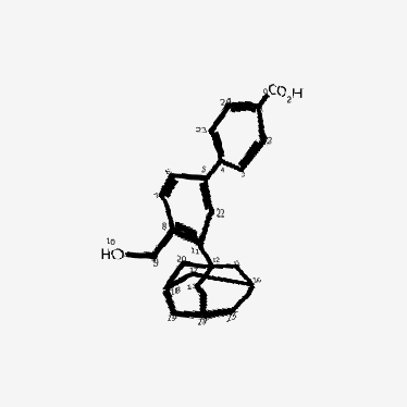 O=C(O)c1ccc(-c2ccc(CO)c(C34CC5CC(CC(C5)C3)C4)c2)cc1